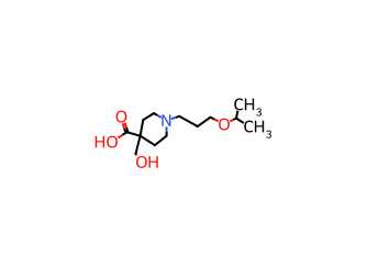 CC(C)OCCCN1CCC(CO)(C(=O)O)CC1